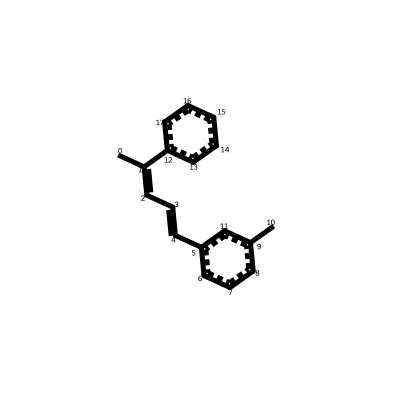 CC(=CC=Cc1cccc(C)c1)c1ccccc1